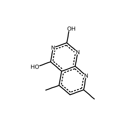 Cc1cc(C)c2c(O)nc(O)nc2n1